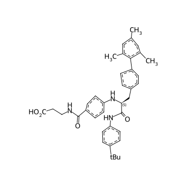 Cc1cc(C)c(-c2ccc(C[C@H](Nc3ccc(C(=O)NCCC(=O)O)cc3)C(=O)Nc3ccc(C(C)(C)C)cc3)cc2)c(C)c1